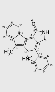 CC1=C2C(=C3C(=O)NCC3=C3c4ccccc4NC23)c2ccccc21